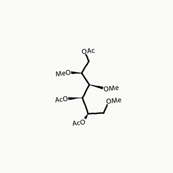 COC[C@@H](OC(C)=O)[C@@H](OC(C)=O)[C@H](OC)[C@H](COC(C)=O)OC